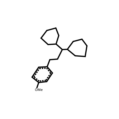 COc1ccc(CCC(C2CCCCC2)C2CCCCC2)cc1